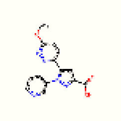 COc1ccc(-c2cc(C(=O)O)nn2-c2cccnc2)nn1